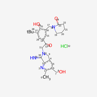 Cc1nc2c(cc1CO)CN(CC(=O)c1cc(CN3CCCCC3=O)c(O)c(C(C)(C)C)c1)C2=N.Cl